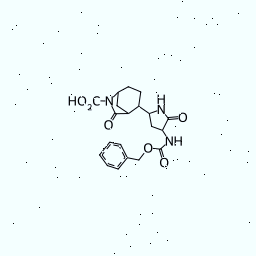 O=C(NC1CC(C2CCC3CC2C(=O)N3C(=O)O)NC1=O)OCc1ccccc1